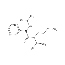 CCCCC(C(=O)N(NC(C)=O)c1cnccn1)C(C)C